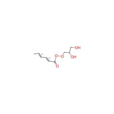 C/C=C/C=C/C(=O)OOCC(O)CO